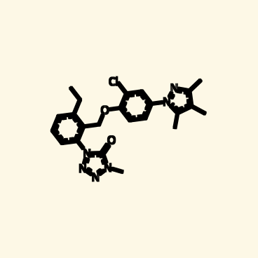 CCc1cccc(-n2nnn(C)c2=O)c1COc1ccc(-n2nc(C)c(C)c2C)cc1Cl